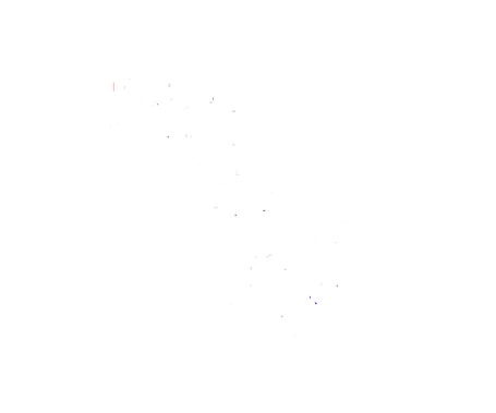 CCCc1onc(-c2c(Cl)cccc2Cl)c1COc1ccc(Sc2cccc3sc(C(=O)O)cc23)cc1